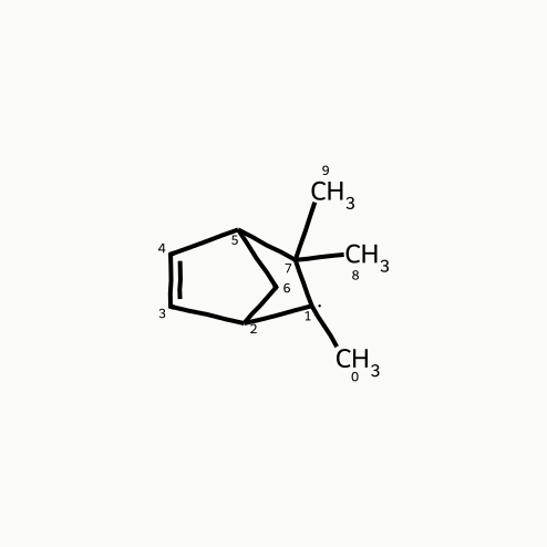 C[C]1C2C=CC(C2)C1(C)C